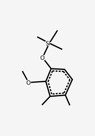 COc1c(O[Si](C)(C)C)ccc(C)c1C